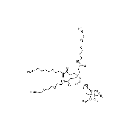 C#CCOCCOCCNC(=O)CCC(CCC(=O)NCCOCCOCC#C)(CCC(=O)NCCOCCOCC#C)NC(=O)[C@]12C[C@@](OP(=O)(OC)C(C)(C)C)(C1)C2